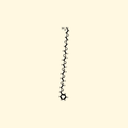 NCCOCCOCCOCCOCCOCCOCCOCCOCCOCc1ccccc1